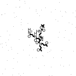 CC(=O)CCN(CCC(C)=O)C(=O)c1nnn(CCNC(=O)OC(C)(C)C)c1C(=O)NCCC(N)=O